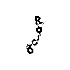 O=C1c2ccccc2CN1c1ccc(OCCN2CCN(c3nsc4ccccc34)CC2)cc1